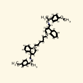 COc1ccc(N(C)/N=C/c2cc[n+](CCCCCC[n+]3ccc(/C=N/N(C)c4ccc(OC)cc4)c4ccccc43)c3ccccc23)cc1